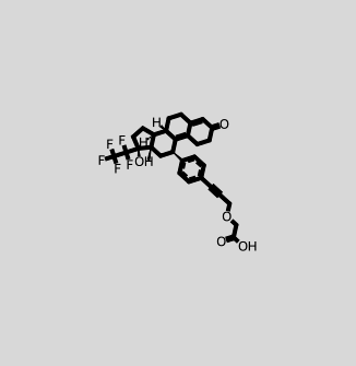 C[C@]12C[C@H](c3ccc(C#CCOCC(=O)O)cc3)C3=C4CCC(=O)C=C4CC[C@H]3[C@@H]1CC[C@@]2(O)C(F)(F)C(F)(F)F